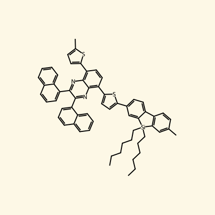 CCCCCC[Si]1(CCCCCC)c2cc(C)ccc2-c2ccc(-c3ccc(-c4ccc(-c5ccc(C)s5)c5nc(-c6cccc7ccccc67)c(-c6cccc7ccccc67)nc45)s3)cc21